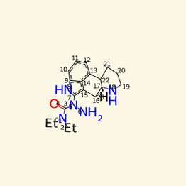 CCN(CC)C(=O)N(N)c1[nH]c2cccc3c2c1C[C@H]1NCCCC31